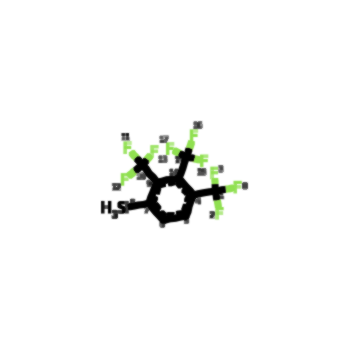 FC(F)(F)c1ccc([SiH3])c(C(F)(F)F)c1C(F)(F)F